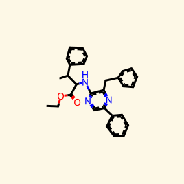 CCOC(=O)C(Nc1ncc(-c2ccccc2)nc1Cc1ccccc1)C(C)c1ccccc1